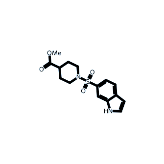 COC(=O)C1CCN(S(=O)(=O)c2ccc3cc[nH]c3c2)CC1